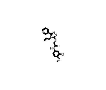 C=CCn1c(SCC(=O)Nc2ccc(OC)c(Cl)c2)nnc1-c1cccnc1